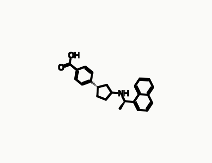 C[C@@H](NC1CC[C@H](c2ccc(C(=O)O)cc2)C1)c1cccc2ccccc12